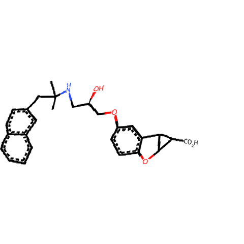 CC(C)(Cc1ccc2ccccc2c1)NC[C@@H](O)COc1ccc2c(c1)C1C(O2)C1C(=O)O